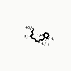 CC(C=C/C=C(/C)C=CC1=C(C)CCCC1(C)C)=CCCC(=O)O